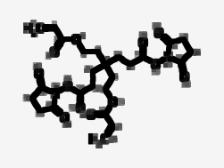 C=CC(=O)OCCC(CCOC(=O)C=C)(CCC(=O)ON1C(=O)CCC1=O)CCC(=O)ON1C(=O)CCC1=O